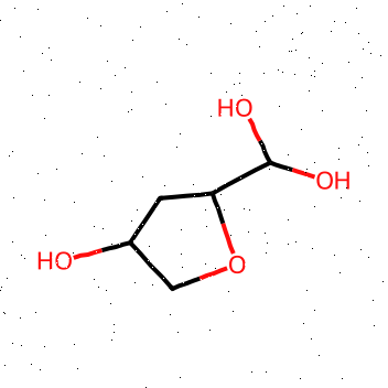 OC1COC(C(O)O)C1